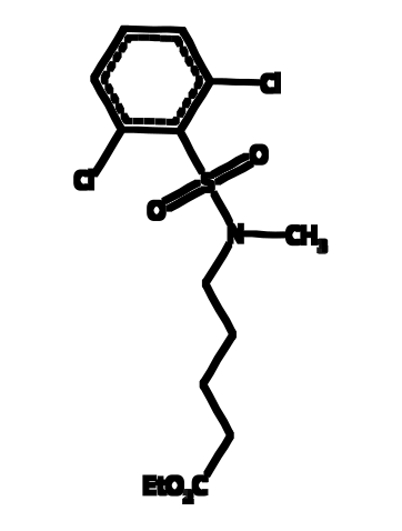 CCOC(=O)CCCCN(C)S(=O)(=O)c1c(Cl)cccc1Cl